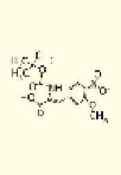 COc1cc(/C=C(\NC(=O)OC(C)(C)C)C(=O)O)ccc1[N+](=O)[O-]